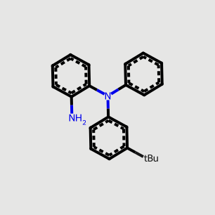 CC(C)(C)c1cccc(N(c2ccccc2)c2ccccc2N)c1